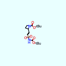 CC(C)(C)OC(=O)NS(=O)(=O)/C=C/C1CCN1C(=O)OC(C)(C)C